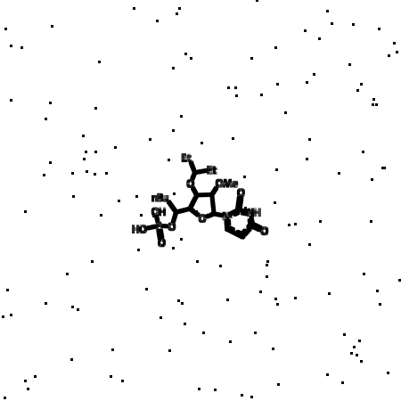 CCCCC(OP(=O)(O)O)C1OC(n2ccc(=O)[nH]c2=O)C(OC)C1OC(CC)CC